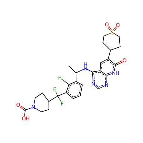 CC(Nc1ncnc2[nH]c(=O)c(C3CCS(=O)(=O)CC3)cc12)c1cccc(C(F)(F)C2CCN(C(=O)O)CC2)c1F